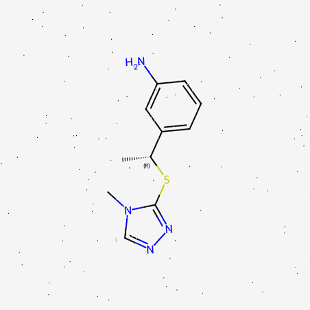 C[C@@H](Sc1nncn1C)c1cccc(N)c1